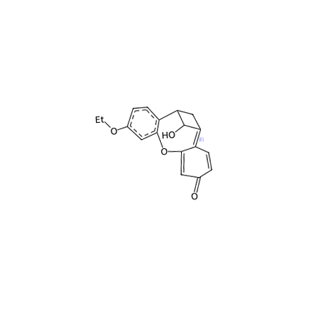 CCOc1ccc2c(c1)OC1=CC(=O)C=C/C1=C1/CC2C1O